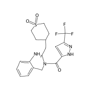 Nc1ccccc1CN(CCC1CCS(=O)(=O)CC1)C(=O)c1cc(C(F)(F)F)n[nH]1